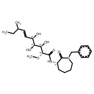 CCC(C)C=C[C@@H](O)[C@H](O)[C@@H](O)[C@@H](OC)C(=O)N[C@H]1CCCCN(Cc2ccccc2)C1=O